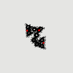 Cc1cc(C)c(B(c2ccc(C34CC5CC(C3)CC(c3ccc(-c6cccc(-c7cccc(B(c8c(C)cc(C)cc8C)c8c(C)cc(C)cc8C)c7)n6)cc3)(C5)C4)cc2)c2c(C)cc(C)cc2C)c(C)c1